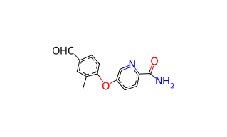 Cc1cc(C=O)ccc1Oc1ccc(C(N)=O)nc1